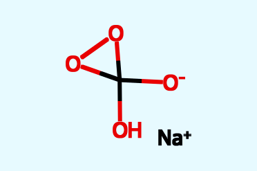 [Na+].[O-]C1(O)OO1